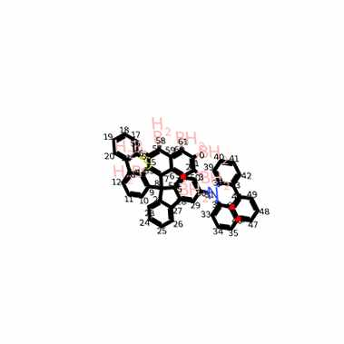 Bc1c(B)c(B)c2c(C3(c4cccc5c4sc4ccccc45)c4ccccc4-c4cc(N(c5ccccc5)c5ccccc5-c5ccccc5)ccc43)c(B)c(B)c(B)c2c1B